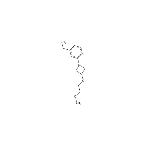 CCc1ccnc(N2CC(OCCOC)C2)c1